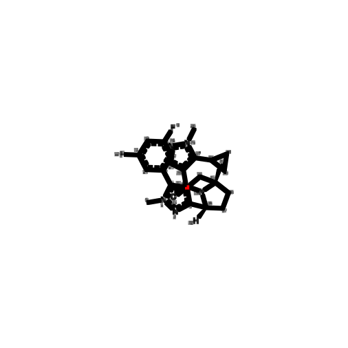 Cn1nc2c(c1-c1cc(F)cc(F)c1)C[C@@H]1CC[C@H]2N1C(=O)c1cnn(C)c1C1CC1